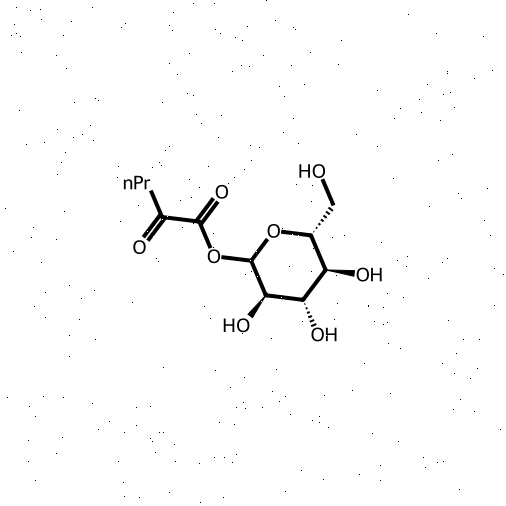 CCCC(=O)C(=O)OC1O[C@H](CO)[C@@H](O)[C@H](O)[C@H]1O